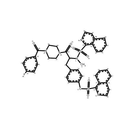 CN(C(Cc1ccc(OS(=O)(=O)c2nccc3ccccc23)cc1)C(=O)N1CCN(C(=O)c2ccc(F)cc2)CC1)S(=O)(=O)c1nccc2ccccc12